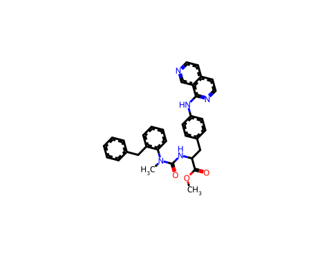 COC(=O)C(Cc1ccc(Nc2nccc3ccncc23)cc1)NC(=O)N(C)c1ccccc1Cc1ccccc1